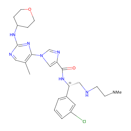 CNCCNC[C@@H](NC(=O)c1cn(-c2nc(NC3CCOCC3)ncc2C)cn1)c1cccc(Cl)c1